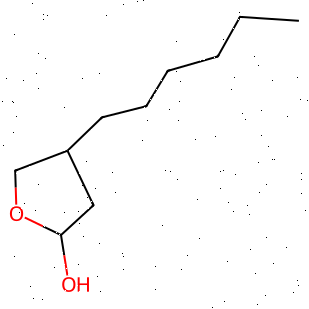 CCCCCCC1COC(O)C1